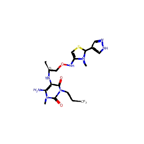 C[C@@H](CONC1=CSC(c2cn[nH]c2)N1C)Nc1c(N)n(C)c(=O)n(CCC(F)(F)F)c1=O